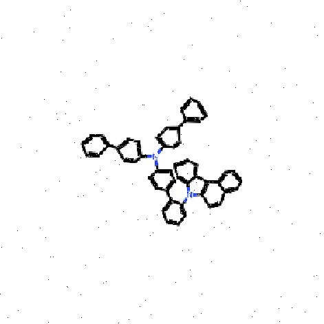 c1ccc(-c2ccc(N(c3ccc(-c4ccccc4)cc3)c3ccc(-c4ccccc4-n4c5ccccc5c5c6ccccc6ccc54)cc3)cc2)cc1